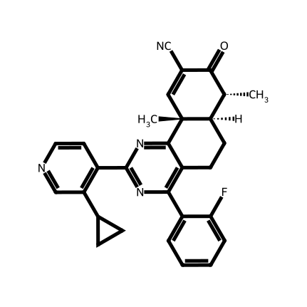 C[C@H]1C(=O)C(C#N)=C[C@@]2(C)c3nc(-c4ccncc4C4CC4)nc(-c4ccccc4F)c3CC[C@H]12